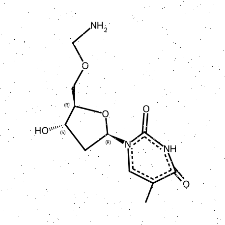 Cc1cn([C@H]2C[C@H](O)[C@@H](COCN)O2)c(=O)[nH]c1=O